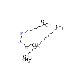 CC/C=C\C/C=C\C/C=C\CCCCCCCC(=O)O.CCCCCCCCCCCCCCCC(=O)OC